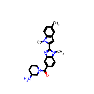 CCn1c(-c2nc3cc(C(=O)N4CCCC(N)C4)ccc3n2C)cc2cc(C)ccc21